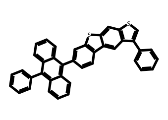 c1ccc(-c2csc3cc4sc5cc(-c6c7ccccc7c(-c7ccccc7)c7ccccc67)ccc5c4cc23)cc1